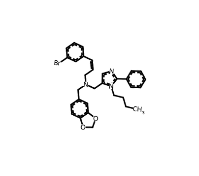 CCCCn1c(CN(C/C=C\c2cccc(Br)c2)Cc2ccc3c(c2)OCO3)cnc1-c1ccccc1